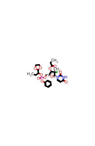 CCC(=O)O[C@@H]1[C@@H](COP(=O)(Oc2ccccc2)OC(CC)C2OCCO2)O[C@@H](n2ccc(=O)[nH]c2=O)[C@]1(C)F